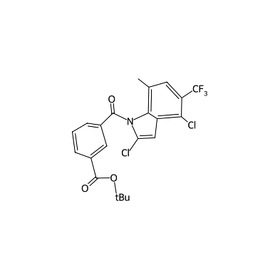 Cc1cc(C(F)(F)F)c(Cl)c2cc(Cl)n(C(=O)c3cccc(C(=O)OC(C)(C)C)c3)c12